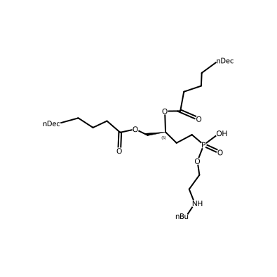 CCCCCCCCCCCCCC(=O)OC[C@H](CCP(=O)(O)OCCNCCCC)OC(=O)CCCCCCCCCCCCC